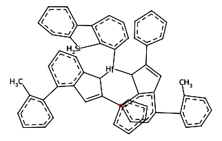 Cc1ccccc1-c1cccc2c1C=C(c1ccccc1)[CH]2[Hf]([c]1cccc2c1[SiH2]c1ccccc1-2)[CH]1C(c2ccccc2)=Cc2c(-c3ccccc3C)cccc21